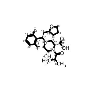 CC(C)C(=O)N1[C@H](C)CN([C@H](CC2CCCO2)c2c(F)cccc2F)C[C@@H]1C(=O)O